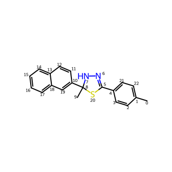 Cc1ccc(C2=NNC(C)(c3ccc4ccccc4c3)S2)cc1